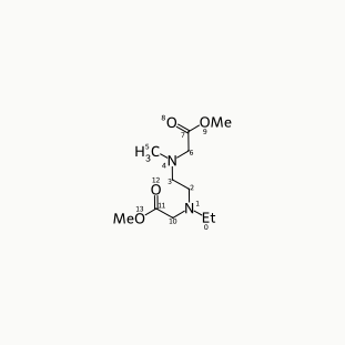 CCN(CCN(C)CC(=O)OC)CC(=O)OC